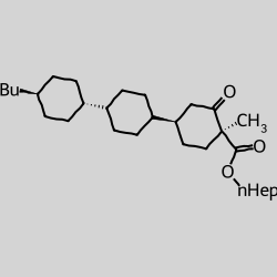 CCCCCCCOC(=O)[C@@]1(C)CC[C@@H](C2CCC([C@H]3CC[C@H](CCCC)CC3)CC2)CC1=O